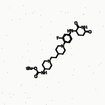 CC(C)(C)OC(=O)NC1CCN(CCC2CCN(c3ccc(NC4CCC(=O)NC4=O)cc3F)CC2)CC1